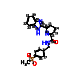 CS(=O)(=O)c1ccc(CNC(=O)c2cccc(-c3nc4ccccc4[nH]3)n2)cc1